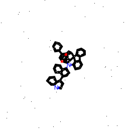 c1ccc(-c2ccc(N(c3cccc4c3C3(c5ccccc5-4)C4CC5CC(C4)CC3C5)c3ccc(-c4ccnc5ccccc45)c4ccccc34)cc2)cc1